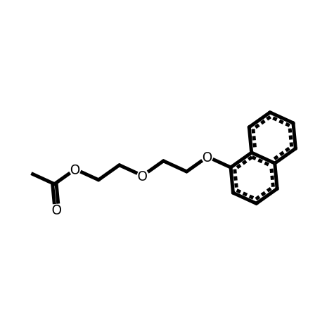 CC(=O)OCCOCCOc1cccc2ccccc12